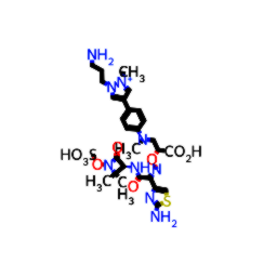 CN(CC(O/N=C(\C(=O)N[C@@H]1C(=O)N(OS(=O)(=O)O)C1(C)C)c1csc(N)n1)C(=O)O)c1ccc(-c2cn(CCCN)[n+](C)c2)cc1